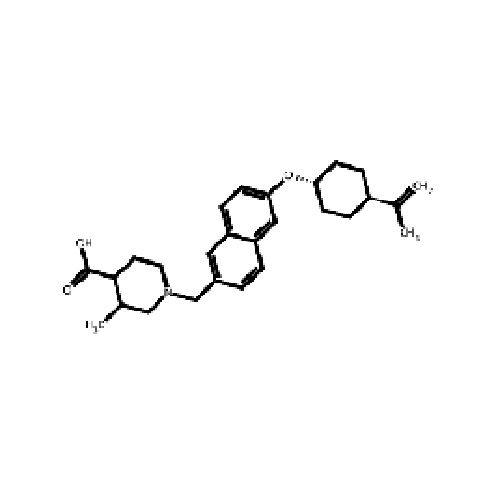 C=C(C)[C@H]1CC[C@H](Oc2ccc3cc(CN4CCC(C(=O)O)C(C)C4)ccc3c2)CC1